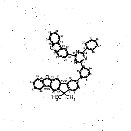 CC1(C)c2ccc(-c3cccc(-c4nc(-c5ccccc5)nc(-c5ccc6oc7ccccc7c6c5)n4)c3)cc2-c2cc3oc4ccccc4c3cc21